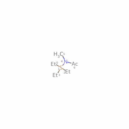 CCS(CC)(CC)N(C)C(C)=O